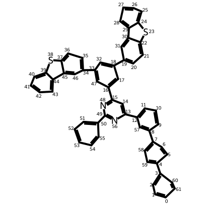 c1ccc(-c2ccc(-c3cccc(-c4cc(-c5cc(-c6ccc7sc8ccccc8c7c6)cc(-c6ccc7sc8ccccc8c7c6)c5)nc(-c5ccccc5)n4)c3)cc2)cc1